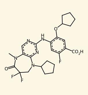 CN1C(=O)C(F)(F)CN(C2CCCC2)c2nc(Nc3cc(F)c(C(=O)O)cc3OC3CCCC3)ncc21